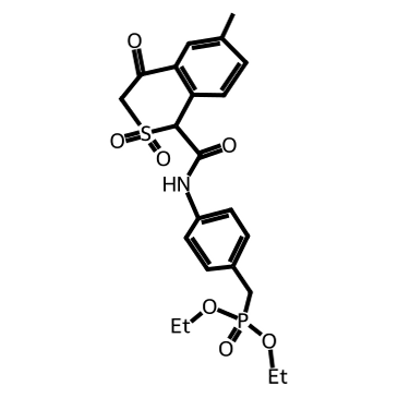 CCOP(=O)(Cc1ccc(NC(=O)C2c3ccc(C)cc3C(=O)CS2(=O)=O)cc1)OCC